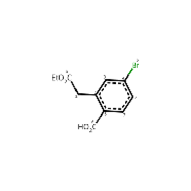 CCOC(=O)Cc1cc(Br)ccc1C(=O)O